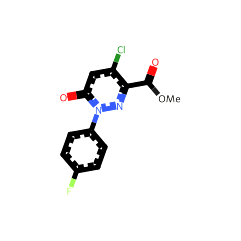 COC(=O)c1nn(-c2ccc(F)cc2)c(=O)cc1Cl